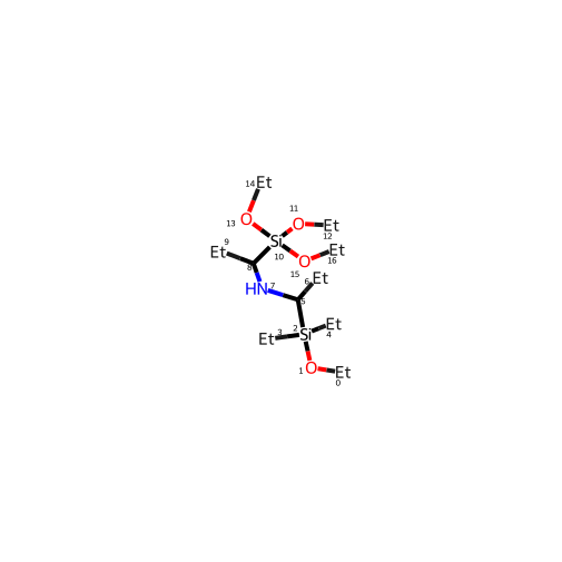 CCO[Si](CC)(CC)C(CC)NC(CC)[Si](OCC)(OCC)OCC